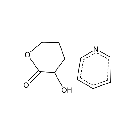 O=C1OCCCC1O.c1ccncc1